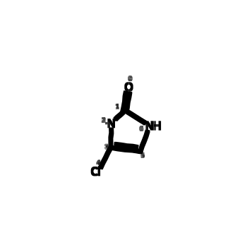 O=C1[N]C(Cl)=CN1